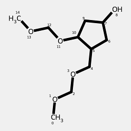 COCOCC1CC(O)CC1OCOC